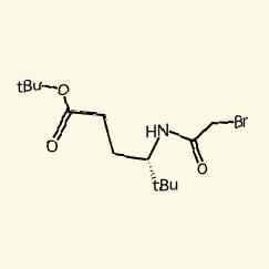 CC(C)(C)OC(=O)CC[C@H](NC(=O)CBr)C(C)(C)C